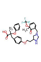 CC1(OC(F)(F)F)C=CC=C(CN2CNC(CCOc3ccc(CC(C)(Oc4ccccc4)C(=O)O)cc3)C2)C1=O